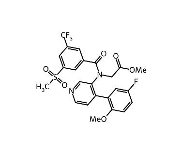 COC(=O)CN(C(=O)c1cc(C(F)(F)F)cc(S(C)(=O)=O)c1)c1cnccc1-c1cc(F)ccc1OC